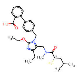 CCOc1nc(CC)c(CN(C)C(=O)[C@@H](S)CC(C)C)n1Cc1ccc(-c2ccccc2C(=O)O)cc1